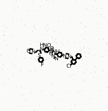 O=[N+]([O-])c1cc(S(=O)(=O)Nc2ncnc3cc(N4CCN(Cc5cc(Cl)ccc5-c5ccccc5)CC4)ccc23)ccc1N[C@H](CCN1CCOCC1)CSc1ccc(F)cc1